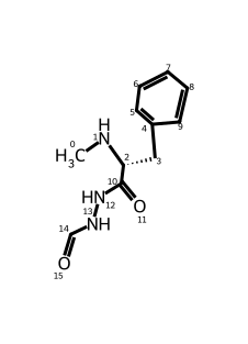 CN[C@H](Cc1ccccc1)C(=O)NNC=O